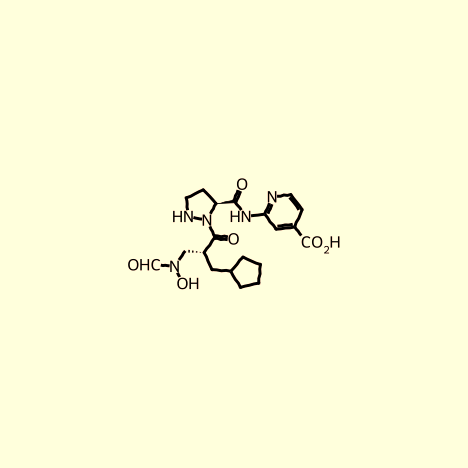 O=CN(O)C[C@@H](CC1CCCC1)C(=O)N1NCC[C@H]1C(=O)Nc1cc(C(=O)O)ccn1